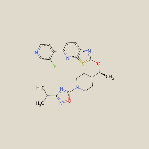 CC(C)c1noc(N2CCC([C@H](C)Oc3nc4ccc(-c5ccncc5F)nc4s3)CC2)n1